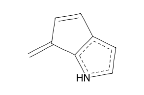 C=C1C=Cc2cc[nH]c21